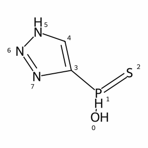 O[PH](=S)c1c[nH]nn1